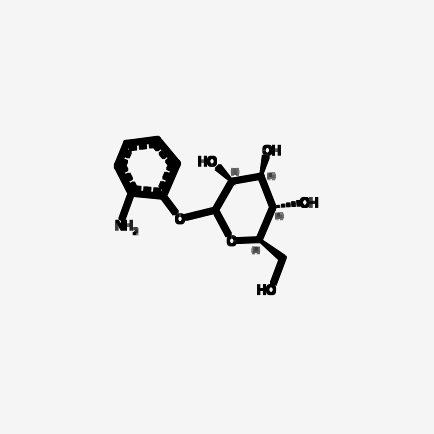 Nc1ccccc1OC1O[C@H](CO)[C@@H](O)[C@H](O)[C@@H]1O